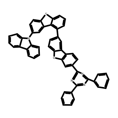 c1ccc(-c2nc(-c3ccccc3)nc(-c3ccc4c(c3)oc3ccc(-c5cccc6sc7ccc(-n8c9ccccc9c9ccccc98)cc7c56)cc34)n2)cc1